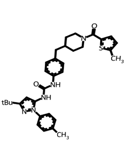 Cc1ccc(-n2nc(C(C)(C)C)cc2NC(=O)Nc2ccc(CC3CCN(C(=O)c4ccc(C)s4)CC3)cc2)cc1